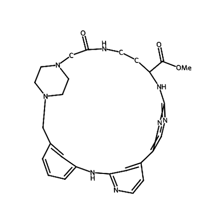 COC(=O)C1CCNC(=O)CN2CCN(CC2)Cc2cccc(c2)Nc2cc(ccn2)-c2cnc(nc2)N1